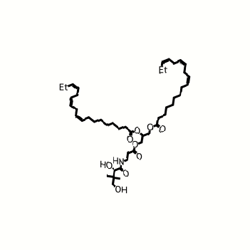 CC/C=C\C/C=C\C/C=C\CCCCCCCC(=O)OCC(COC(=O)CCNC(=O)[C@H](O)C(C)(C)CO)OC(=O)CCCCCCC/C=C\C/C=C\C/C=C\CC